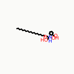 CCCCCCCCCCCCCCCCCCOCC(CO)Nc1ccccc1C(=O)O